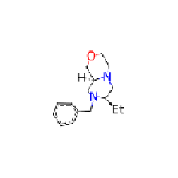 CC[C@@H]1CN2CCOC[C@@H]2CN1Cc1ccccc1